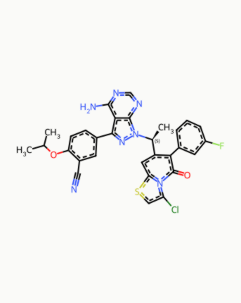 CC(C)Oc1ccc(-c2nn([C@@H](C)c3cc4scc(Cl)n4c(=O)c3-c3cccc(F)c3)c3ncnc(N)c23)cc1C#N